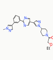 CCOCC(=O)N1CCC(n2cc(-c3cnc(-c4cccc(-c5cnn(C)c5)c4)nc3)cn2)CC1